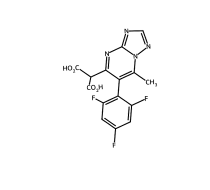 Cc1c(-c2c(F)cc(F)cc2F)c(C(C(=O)O)C(=O)O)nc2ncnn12